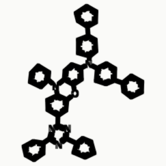 c1ccc(-c2ccc(N(c3ccc(-c4ccccc4)cc3)c3ccc4c(c3)Oc3cc(-c5nc(-c6ccccc6)nc(-c6ccccc6)n5)ccc3N4c3ccccc3)cc2)cc1